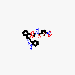 O=C(NC1=COC(c2ccccc2/C=C/c2n[nH]c3ccccc23)O1)c1ccc([N+](=O)[O-])s1